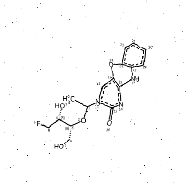 CC(O[C@H](CO)[C@@H](O)CF)n1cc2c(nc1=O)Nc1ccccc1O2